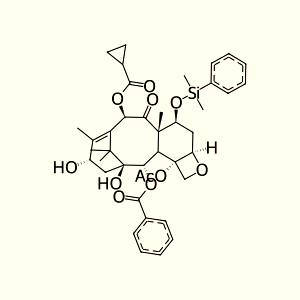 CC(=O)O[C@@]12CO[C@@H]1C[C@H](O[Si](C)(C)c1ccccc1)[C@@]1(C)C(=O)[C@H](OC(=O)C3CC3)C3=C(C)[C@@H](O)C[C@@](O)([C@@H](OC(=O)c4ccccc4)C12)C3(C)C